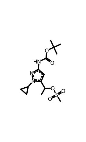 CC(OS(C)(=O)=O)c1cc(NC(=O)OC(C)(C)C)nn1C1CC1